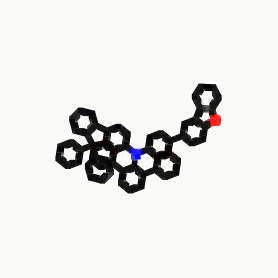 c1ccc(-c2cccc(-c3ccccc3)c2N(c2ccc(-c3ccc4oc5ccccc5c4c3)cc2)c2ccc3c(c2)C(c2ccccc2)(c2ccccc2)c2ccccc2-3)cc1